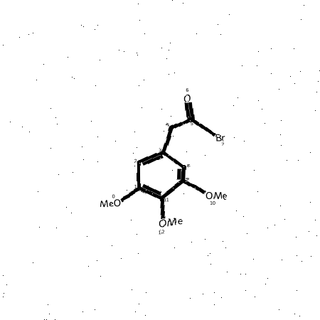 COc1cc(CC(=O)Br)cc(OC)c1OC